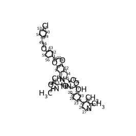 Cc1nc(C(=O)N2Cc3cc4c(cc3C[C@H]2C(=O)N[C@@H](Cc2ccc(-c3ccnc(C)c3C)cc2)C(=O)O)OC[C@H](c2ccc(OCCc3ccc(Cl)cc3)cc2)O4)c(C)o1